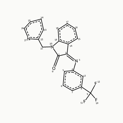 O=C1C(=Nc2cccc(C(F)(F)F)c2)c2ccccc2N1Cc1ccccn1